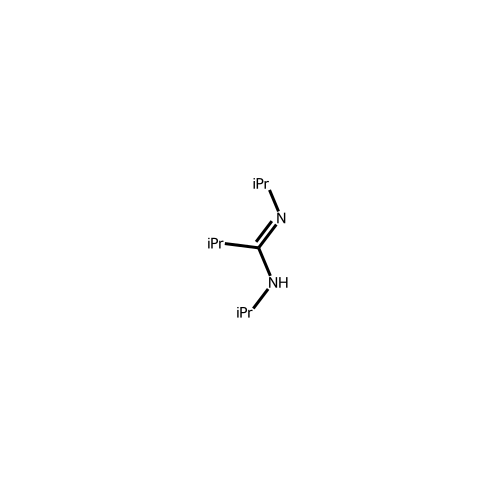 CC(C)/N=C(/NC(C)C)C(C)C